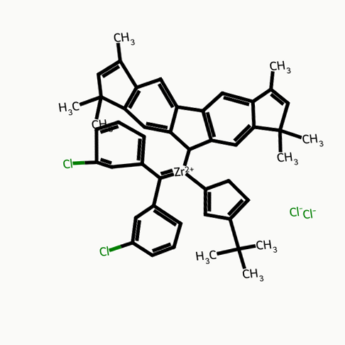 CC1=CC(C)(C)c2cc3c(cc21)-c1cc2c(cc1[CH]3[Zr+2]([C]1=CC(C(C)(C)C)=CC1)=[C](c1cccc(Cl)c1)c1cccc(Cl)c1)C(C)(C)C=C2C.[Cl-].[Cl-]